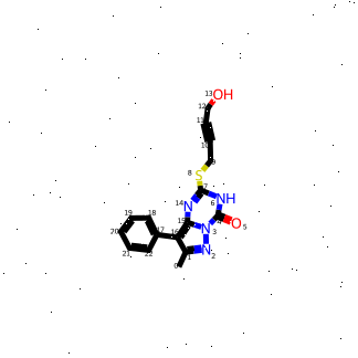 Cc1nn2c(=O)[nH]c(SCC#CCO)nc2c1-c1ccccc1